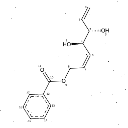 C=C[C@H](O)[C@H](O)/C=C\COC(=O)c1ccccc1